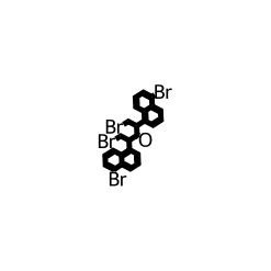 O=C(C(CBr)c1cccc2c(Br)cccc12)C(CBr)c1cccc2c(Br)cccc12